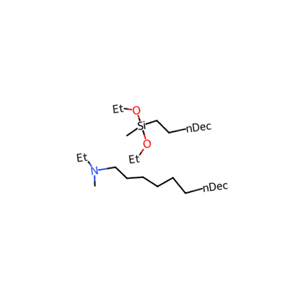 CCCCCCCCCCCCCCCCN(C)CC.CCCCCCCCCCCC[Si](C)(OCC)OCC